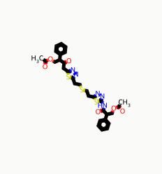 CC(=O)OCC(C(=O)Cc1nnc(CCSCCc2nnc(NC(=O)C(COC(C)=O)c3ccccc3)s2)s1)c1ccccc1